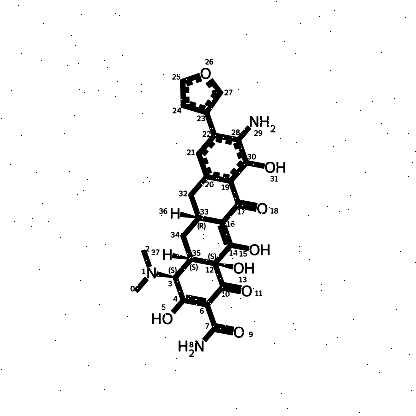 CN(C)[C@@H]1C(O)=C(C(N)=O)C(=O)[C@@]2(O)C(O)=C3C(=O)c4c(cc(-c5ccoc5)c(N)c4O)C[C@H]3C[C@@H]12